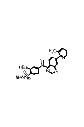 CCCCc1cc(Nc2ncnc3cc(-c4ncccc4C(F)(F)F)ccc23)ccc1S(=O)(=O)NC